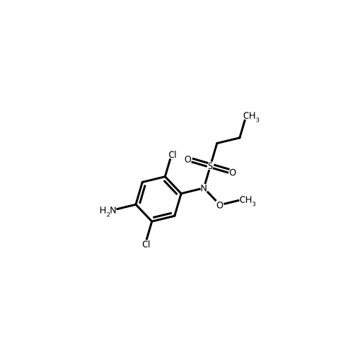 CCCS(=O)(=O)N(OC)c1cc(Cl)c(N)cc1Cl